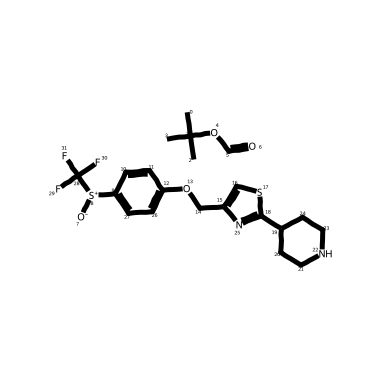 CC(C)(C)OC=O.[O-][S+](c1ccc(OCc2csc(C3CCNCC3)n2)cc1)C(F)(F)F